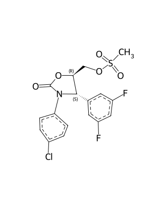 CS(=O)(=O)OC[C@@H]1OC(=O)N(c2ccc(Cl)cc2)[C@H]1c1cc(F)cc(F)c1